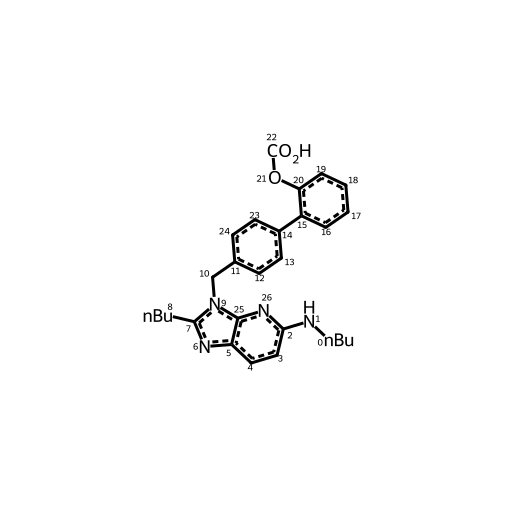 CCCCNc1ccc2nc(CCCC)n(Cc3ccc(-c4ccccc4OC(=O)O)cc3)c2n1